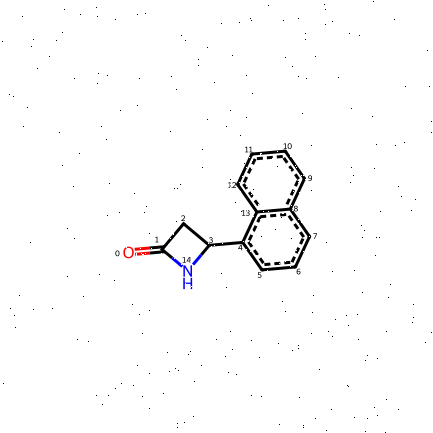 O=C1CC(c2cccc3ccccc23)N1